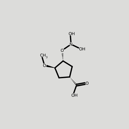 CO[C@@H]1C[C@@H](C(=O)O)C[C@H]1ON(O)O